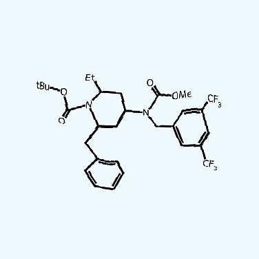 CCC1CC(N(Cc2cc(C(F)(F)F)cc(C(F)(F)F)c2)C(=O)OC)CC(Cc2ccccc2)N1C(=O)OC(C)(C)C